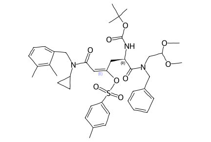 COC(CN(Cc1ccccc1)C(=O)[C@@H](C/C(=C\C(=O)N(Cc1cccc(C)c1C)C1CC1)OS(=O)(=O)c1ccc(C)cc1)NC(=O)OC(C)(C)C)OC